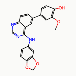 COc1cc(-c2ccc3ncnc(Nc4ccc5c(c4)OCO5)c3c2)ccc1O